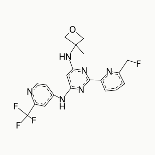 CC1(Nc2cc(Nc3ccnc(C(F)(F)F)c3)nc(-c3cccc(CF)n3)n2)COC1